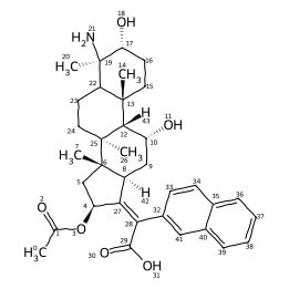 CC(=O)O[C@H]1C[C@@]2(C)[C@@H](C[C@@H](O)[C@H]3[C@@]4(C)CC[C@@H](O)[C@](C)(N)C4CC[C@@]32C)/C1=C(/C(=O)O)c1ccc2ccccc2c1